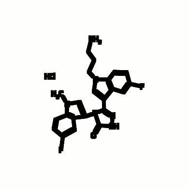 Cl.Cn1cc(-n2c(-c3cn(CCCN)c4ccc(F)cc34)n[nH]c2=O)c2cc(F)ccc21